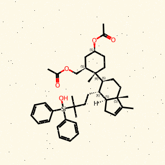 CC(=O)OC[C@H]1C[C@@H](OC(C)=O)CC[C@]1(C)[C@H]1CC[C@]2(C)C(C)=CC[C@H]2[C@@H]1CCC(C)(C)[Si](O)(c1ccccc1)c1ccccc1